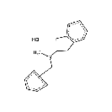 CN(Cc1ccccc1)C1Cc2ccccc2C1.Cl